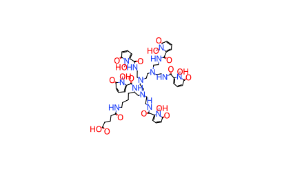 O=C(O)CCCC(=O)NCCCCC(CN(CCNC(=O)c1cccc(=O)n1O)CCN(CCNC(=O)c1cccc(=O)n1O)CCN(CCNC(=O)c1cccc(=O)n1O)CCNC(=O)c1cccc(=O)n1O)NC(=O)c1cccc(=O)n1O